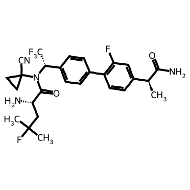 C[C@H](C(N)=O)c1ccc(-c2ccc([C@H](N(C(=O)[C@@H](N)CC(C)(C)F)C3(C#N)CC3)C(F)(F)F)cc2)c(F)c1